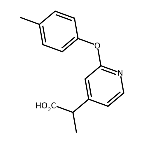 Cc1ccc(Oc2cc(C(C)C(=O)O)ccn2)cc1